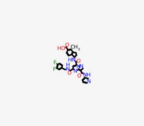 Cc1c(C(=O)O)ccc2c1CC[C@@H]2NC(=O)c1cc(C(=O)NCc2ccc(F)c(F)c2)nc2c(C(=O)Nc3cccnc3)cnn12